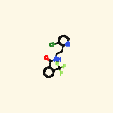 O=C(NCCc1ncccc1Cl)c1ccccc1C(F)(F)F